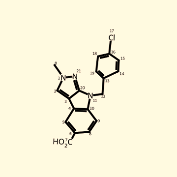 Cn1cc2c3cc(C(=O)O)ccc3n(Cc3ccc(Cl)cc3)c2n1